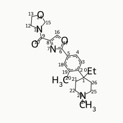 CCC1(c2ccc(-c3nc(C(=O)N4CCOC4)co3)cc2C)CCN(C)CC1